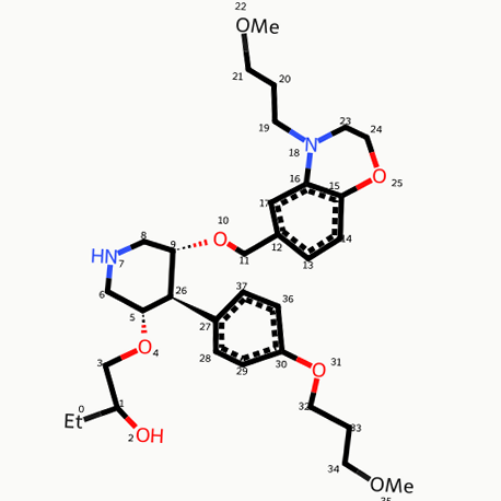 CCC(O)CO[C@@H]1CNC[C@H](OCc2ccc3c(c2)N(CCCOC)CCO3)[C@H]1c1ccc(OCCCOC)cc1